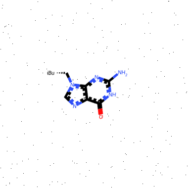 CC[C@@H](C)Cn1cnc2c(=O)[nH]c(N)nc21